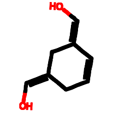 O/C=C1/C=CC/C(=C\O)C1